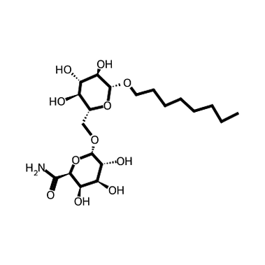 CCCCCCCCO[C@@H]1O[C@H](CO[C@H]2O[C@H](C(N)=O)[C@H](O)[C@H](O)[C@H]2O)[C@@H](O)[C@H](O)[C@H]1O